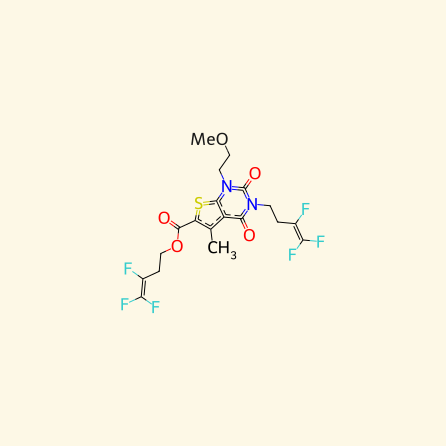 COCCn1c(=O)n(CCC(F)=C(F)F)c(=O)c2c(C)c(C(=O)OCCC(F)=C(F)F)sc21